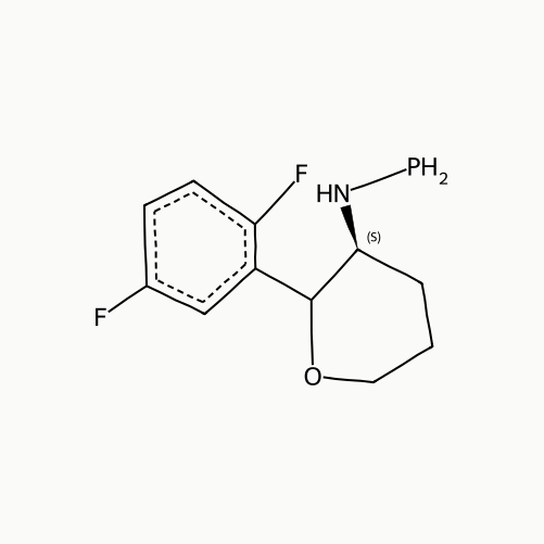 Fc1ccc(F)c(C2OCCC[C@@H]2NP)c1